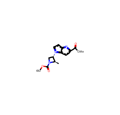 COC(=O)c1ccc2c(ccn2[C@H]2CN(C(=O)OC(C)(C)C)[C@@H]2C)n1